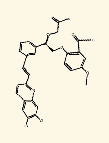 C=C(C)CO[C@@H](COc1ccc(OC)cc1C(=O)O)c1cccc(/C=C/c2ccc3cc(Cl)c(Cl)cc3n2)c1